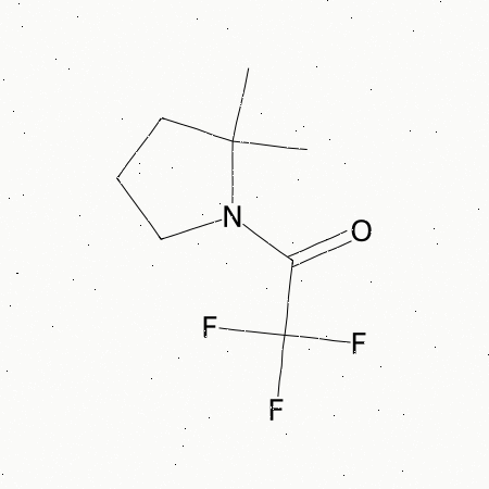 CC1(C)CCCN1C(=O)C(F)(F)F